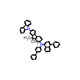 CC1(C)c2cc(N(c3ccc(-c4ccccc4)cc3)c3ccc(-c4ccccc4)c4ccccc34)ccc2-c2ccc(-n3c4ccccc4c4ccccc43)cc21